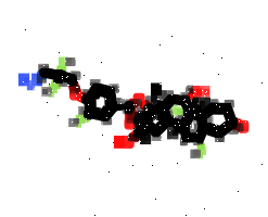 C[C@]12C[C@H](O)[C@@]3(F)[C@@H](C[C@H](F)C4=CC(=O)C=C[C@@]43C)[C@]1(C)C[C@H]1O[C@@H](c3ccc(OCC(F)(F)CN)c(F)c3)O[C@]12C(=O)CO